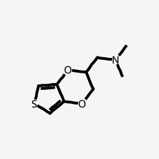 CN(C)CC1COc2cscc2O1